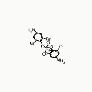 Nc1cc(Cl)c(OP(=O)(O)Oc2c(Br)cc(N)cc2Br)c(Cl)c1